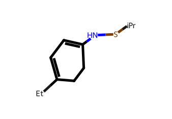 CCC1=CC=C(NSC(C)C)CC1